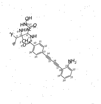 CC(=O)NC(C)(C(F)F)C(NC(=O)c1ccc(C#CC#Cc2ccccc2N)cc1)C(=O)NO